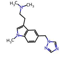 CN(C)CCc1cn(C)c2ccc(Cn3cncn3)cc12